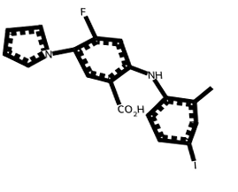 Cc1cc(I)ccc1Nc1cc(F)c(-n2cccc2)cc1C(=O)O